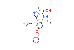 C=CCc1cc(C(C)(C)NC(C(C)O)n2ccnc2)ccc1OCc1ccccc1